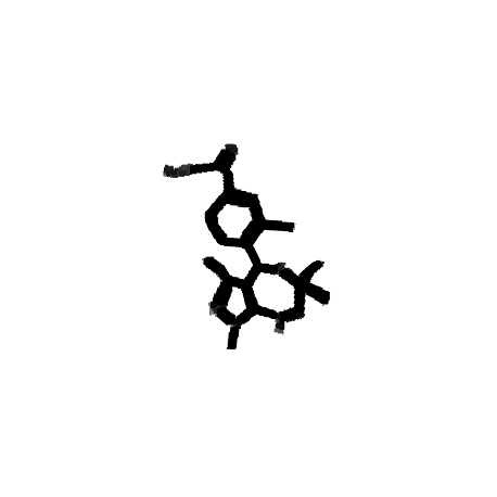 COC(=O)c1ccc(C2SC(C)(C)CNc3c2c(C)nn3C)c(C)c1